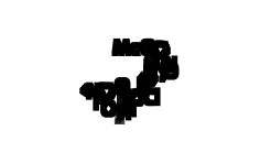 COc1cccc(-c2noc(C)c2C(=O)N2CCN(c3cc(NC(=O)c4ccc(N5CCC5)c(F)c4)c([N+](=O)[O-])cc3Cl)CC2)c1